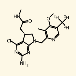 [2H]C([2H])([2H])c1cnc(CN2C[C@H](CC(=O)NC)c3c(Cl)nc(N)nc32)c(C)c1OC